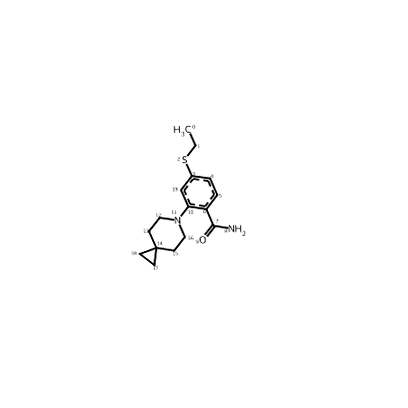 CCSc1ccc(C(N)=O)c(N2CCC3(CC2)CC3)c1